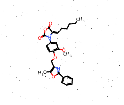 CCCCCC=C1C(=O)OC(=O)N1c1ccc(OCc2nc(-c3ccccc3)oc2C)c(OC)c1